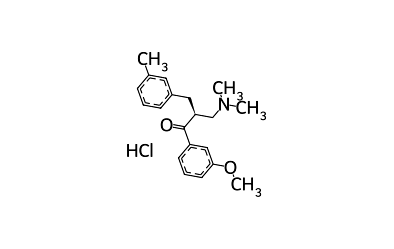 COc1cccc(C(=O)[C@@H](Cc2cccc(C)c2)CN(C)C)c1.Cl